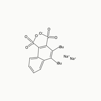 CCC(C)c1c(S(=O)(=O)[O-])c(S(=O)(=O)[O-])c2ccccc2c1C(C)CC.[Na+].[Na+]